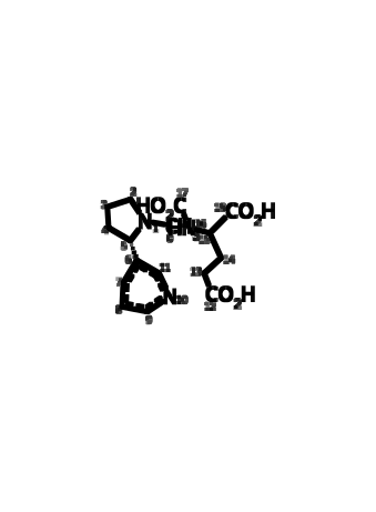 CN1CCC[C@H]1c1cccnc1.O=C(O)CCC(NC(=O)O)C(=O)O